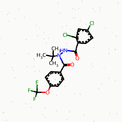 CC(C)(C)N(NC(=O)c1ccc(Cl)cc1Cl)C(=O)c1ccc(OC(F)(F)F)cc1